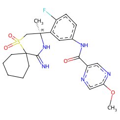 COc1cnc(C(=O)Nc2ccc(F)c([C@]3(C)CS(=O)(=O)C4(CCCCC4)C(=N)N3)c2)cn1